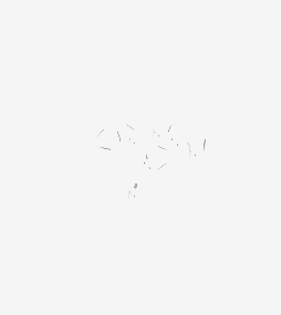 N#CCCCn1c(Cn2c(=O)n(-c3nccs3)c3ccncc32)cc2cc(Cl)ccc21